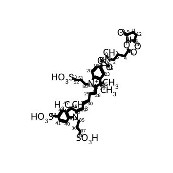 CN(CCCC(=O)ON1C(=O)CCC1=O)S(=O)(=O)c1ccc2c(c1)C(C)(C)C(/C=C/C=C/C=C1/N(CCCS(=O)(=O)O)c3ccc(S(=O)(=O)O)cc3C1(C)C)=[N+]2CCCS(=O)(=O)O